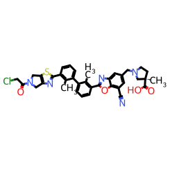 Cc1c(-c2nc3cc(CN4CC[C@@](C)(C(=O)O)C4)cc(C#N)c3o2)cccc1-c1cccc(-c2nc3c(s2)CN(C(=O)CCl)C3)c1C